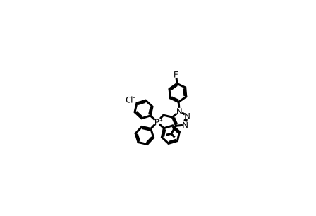 CC(C)c1nnn(-c2ccc(F)cc2)c1C[P+](c1ccccc1)(c1ccccc1)c1ccccc1.[Cl-]